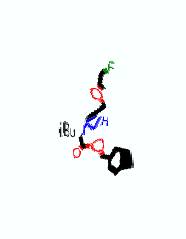 CC[C@H](C)[C@H](NCCOCCF)C(=O)OCc1ccccc1